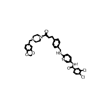 O=C(Nc1ccc(NCc2ccc(CCC(=O)N3CCN(Cc4ccc5c(c4)OCO5)CC3)cc2)nc1)c1ccc(Cl)c(Cl)c1